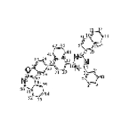 c1ccc(-c2nc(-c3ccc4ccccc4c3)nc(-c3ccc(-c4ccc5oc6ncc7ccccc7c6c5c4)c4ccccc34)n2)cc1